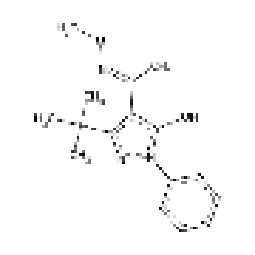 CON=C(C)c1c(C(C)(C)C)nn(-c2ccccc2)c1O